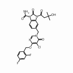 CC(C)(O)CC(=O)n1c(=O)n(C(N)=O)c2ccc(Cn3cnc(OCc4ccc(F)cc4F)c(Cl)c3=O)cc21